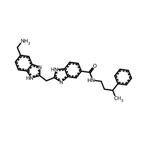 CC(CCNC(=O)c1ccc2[nH]c(Cc3nc4cc(CN)ccc4[nH]3)nc2c1)c1ccccc1